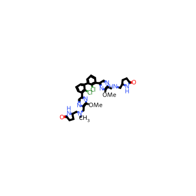 COc1nc(-c2cccc(-c3cccc(-c4cnc(CN(C)CC5CCC(=O)N5)c(OC)n4)c3Cl)c2Cl)cnc1CNCC1CCC(=O)N1